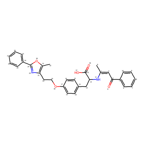 C/C(=C/C(=O)c1ccccc1)NC(Cc1ccc(OCCc2nc(-c3ccccc3)oc2C)cc1)C(=O)O